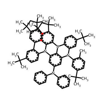 Cc1ccc(C(C)(C)C)cc1N1c2cc(C(C)(C)C)ccc2B2c3cc4c(cc3N(c3ccc(C(C)(C)C)cc3-c3ccc5c(c3)C(C)(C)CC5(C)C)c3cc(N(c5ccccc5)c5ccccc5)cc1c32)C(C)(C)CC4(C)C